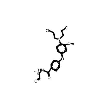 COc1cc(Oc2ccc(C(=O)N[C@@H](C)[C]=O)cc2)ccc1N(CCCl)CCCl